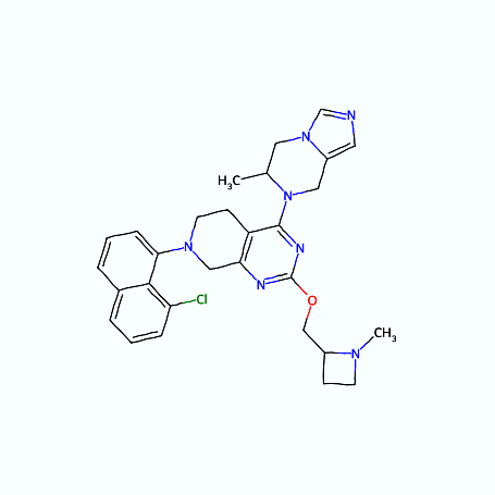 CC1Cn2cncc2CN1c1nc(OCC2CCN2C)nc2c1CCN(c1cccc3cccc(Cl)c13)C2